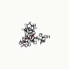 CS(=O)(=O)NC(=O)c1cc(C2CC2)c(CN2[C@@H]3CC[C@H]2C[C@@H](Oc2cc(C(F)(F)F)cc(Cl)c2F)C3)cc1F.O=C(O)C(F)(F)F